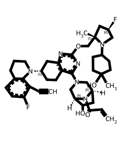 C#Cc1c(F)ccc2c1N([C@H]1CCc3c(nc(OC[C@]4(C)C[C@@H](F)CN4C4CCC(C)(O)CC4)nc3N3C[C@H]4CC(O)[C@@H](C3)N4C(=O)C=C)C1)CCC2